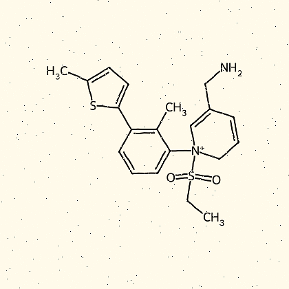 CCS(=O)(=O)[N+]1(c2cccc(-c3ccc(C)s3)c2C)C=C(CN)C=CC1